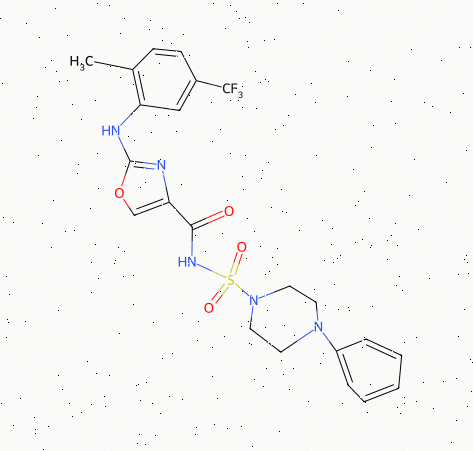 Cc1ccc(C(F)(F)F)cc1Nc1nc(C(=O)NS(=O)(=O)N2CCN(c3ccccc3)CC2)co1